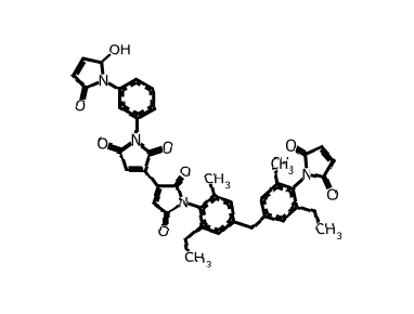 CCc1cc(Cc2cc(C)c(N3C(=O)C=C(C4=CC(=O)N(c5cccc(N6C(=O)C=CC6O)c5)C4=O)C3=O)c(CC)c2)cc(C)c1N1C(=O)C=CC1=O